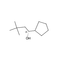 CC(C)(C)C[C@@H](O)C1CCCC1